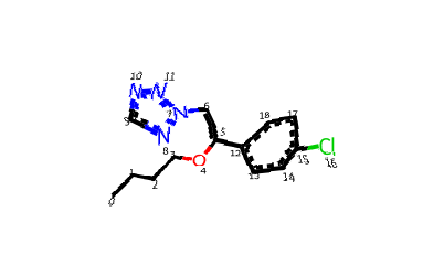 CCCCOC(=Cn1ncnn1)c1ccc(Cl)cc1